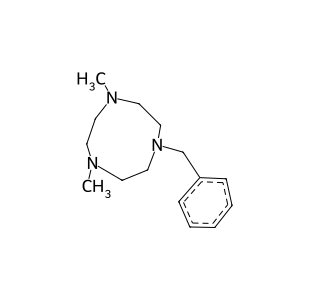 CN1CCN(C)CCN(Cc2ccccc2)CC1